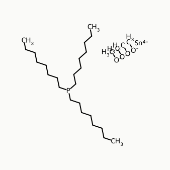 CCCCCCCCP(CCCCCCCC)CCCCCCCC.C[O-].C[O-].C[O-].C[O-].[Sn+4]